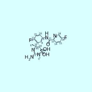 CN1C(N)=N[C@](C)(c2cc(NC(=O)c3ccc(F)cn3)ccc2F)CS1(O)O